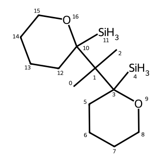 CC(C)(C1([SiH3])CCCCO1)C1([SiH3])CCCCO1